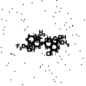 C[C@H]1[C@H]2CCC[C@@H](C(O)C(F)(F)F)[C@@H]2CCN1C(=O)Cc1c(Cl)cnc(C(C)(C)O)c1Cl